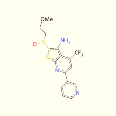 COCC[S+]([O-])c1sc2nc(-c3cccnc3)cc(C(F)(F)F)c2c1N